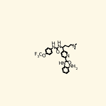 CN(C)CCCC(NC(=O)Nc1ccc(OC(F)(F)F)cc1)c1ccc(C(=O)Nc2ccccc2N)nc1